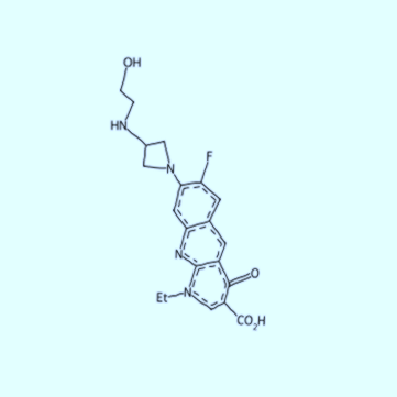 CCn1cc(C(=O)O)c(=O)c2cc3cc(F)c(N4CC(NCCO)C4)cc3nc21